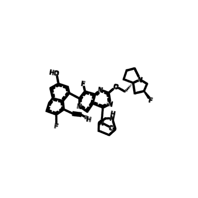 [2H]C#Cc1c(F)ccc2cc(O)cc(-c3ncc4c(N5CC6CCC5CN6)nc(OC[C@]56CCCN5C[C@@H](F)C6)nc4c3F)c12